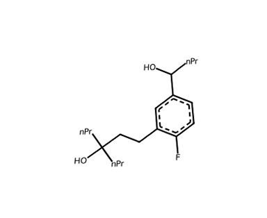 CCCC(O)c1ccc(F)c(CCC(O)(CCC)CCC)c1